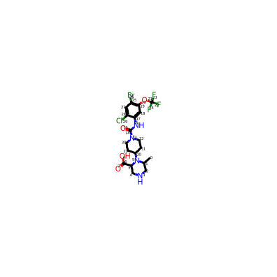 CC1CNCC(C(=O)O)N1C1CCN(C(=O)Nc2cc(OC(F)(F)F)c(Br)cc2Cl)CC1